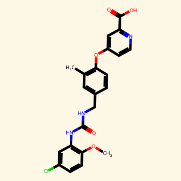 COc1ccc(Cl)cc1NC(=O)NCc1ccc(Oc2ccnc(C(=O)O)c2)c(C)c1